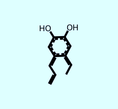 C=C/C=c1/cc(O)c(O)c/c1=C/C